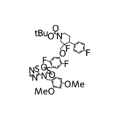 COc1ccc(CN(c2ncns2)S(=O)(=O)c2cc(F)c(OCC3(F)CN(C(=O)OC(C)(C)C)CCC3c3ccc(F)cc3)cc2F)c(OC)c1